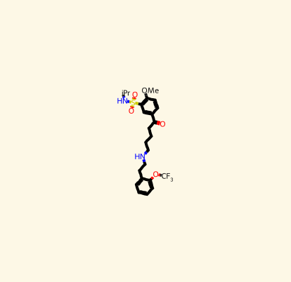 COc1ccc(C(=O)CCCCNCCc2ccccc2OC(F)(F)F)cc1S(=O)(=O)NC(C)C